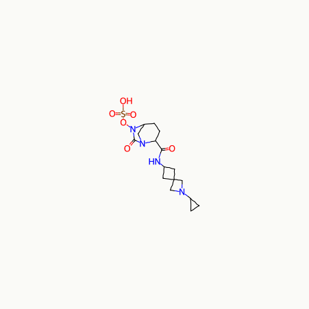 O=C(NC1CC2(C1)CN(C1CC1)C2)C1CCC2CN1C(=O)N2OS(=O)(=O)O